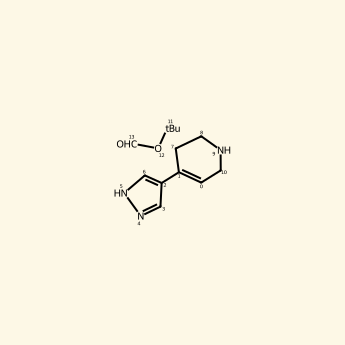 C1=C(c2cn[nH]c2)CCNC1.CC(C)(C)OC=O